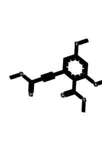 COC(=O)C#Cc1cc(OC)cc(OC)c1C(=O)OC